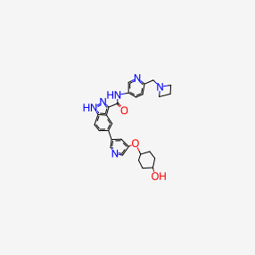 O=C(Nc1ccc(CN2CCC2)nc1)c1n[nH]c2ccc(-c3cncc(OC4CCC(O)CC4)c3)cc12